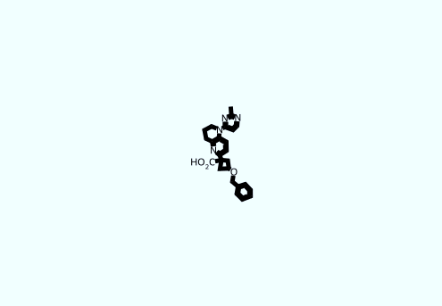 Cc1nccc(N2CCCc3nc(C4(C(=O)O)CC(OCc5ccccc5)C4)ccc32)n1